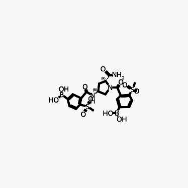 CS(=O)(=O)c1ccc(B(O)O)cc1C(=O)N[C@@H]1C[C@H](C(N)=O)N(C(=O)c2cc(B(O)O)ccc2S(C)(=O)=O)C1